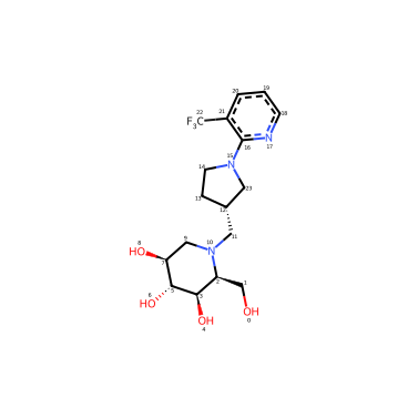 OC[C@H]1[C@@H](O)[C@H](O)[C@@H](O)CN1C[C@@H]1CCN(c2ncccc2C(F)(F)F)C1